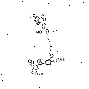 COc1ccc(-c2cc(-c3cc(CO)c(CO)c(CO)c3)on2)cc1OCCCCCCCCCOc1ccc(C2NC(=O)c3cc(C)ccc3N2)cc1CO